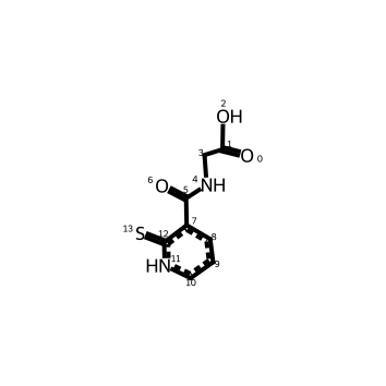 O=C(O)CNC(=O)c1ccc[nH]c1=S